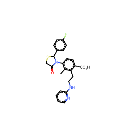 Cc1c(N2C(=O)CSC2c2ccc(F)cc2)ccc(C(=O)O)c1CCNc1ccccn1